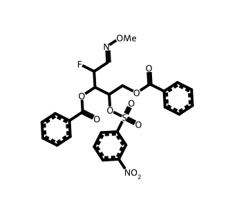 CON=CC(F)C(OC(=O)c1ccccc1)C(COC(=O)c1ccccc1)OS(=O)(=O)c1cccc([N+](=O)[O-])c1